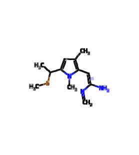 C=N/C(N)=C\c1c(C)cc(C(C)SC)n1C